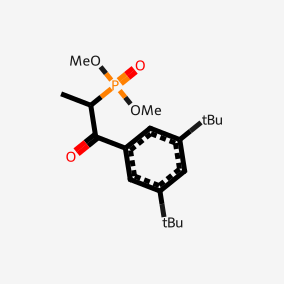 COP(=O)(OC)C(C)C(=O)c1cc(C(C)(C)C)cc(C(C)(C)C)c1